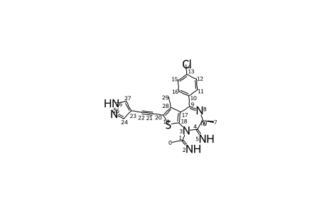 CC(=N)N1C(=N)[C@H](C)N=C(c2ccc(Cl)cc2)c2c1sc(C#Cc1cn[nH]c1)c2C